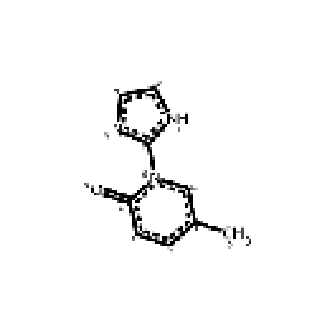 Cc1ccc(=O)n(-c2ncc[nH]2)c1